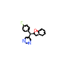 Fc1ccc(C(c2cncnc2)c2cc3ccccc3o2)cc1